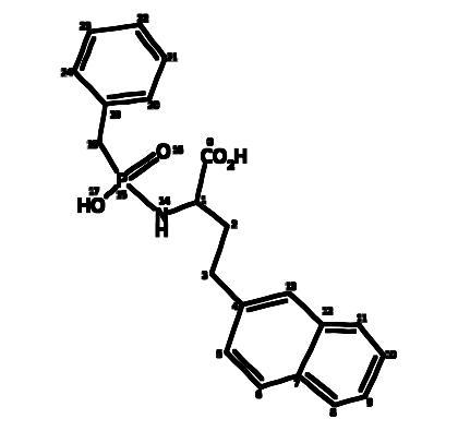 O=C(O)C(CCc1ccc2ccccc2c1)NP(=O)(O)Cc1ccccc1